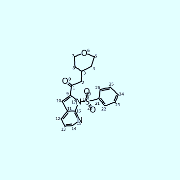 O=C(CC1CCOCC1)c1cc2cccnc2n1S(=O)(=O)c1ccccc1